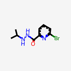 CC(C)NNC(=O)c1cccc(Br)n1